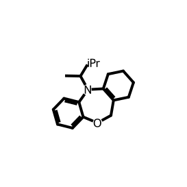 CC(C)C(C)N1C2=C(CCCC2)COc2ccccc21